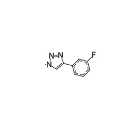 Fc1cccc(C2=C[N]N=N2)c1